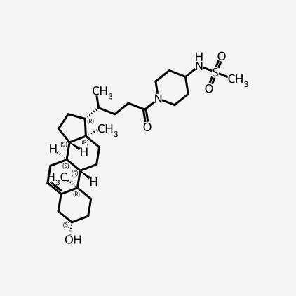 CC(CCC(=O)N1CCC(NS(C)(=O)=O)CC1)[C@H]1CC[C@H]2[C@@H]3CC=C4C[C@@H](O)CC[C@]4(C)[C@H]3CC[C@]12C